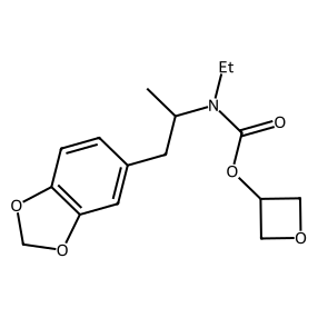 CCN(C(=O)OC1COC1)C(C)Cc1ccc2c(c1)OCO2